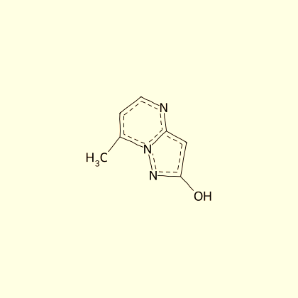 Cc1ccnc2cc(O)nn12